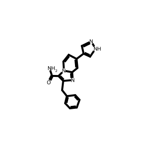 NC(=O)c1c(Cc2ccccc2)nc2cc(-c3cn[nH]c3)ccn12